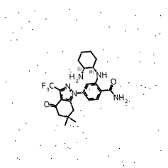 CC1(C)CC(=O)c2c(C(F)(F)F)nn(-c3ccc(C(N)=O)c(N[C@@H]4CCCC[C@@H]4N)c3)c2C1